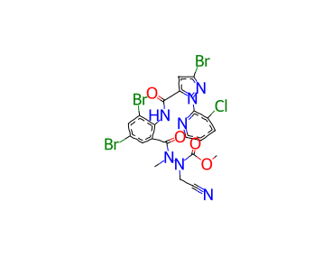 COC(=O)N(CC#N)N(C)C(=O)c1cc(Br)cc(Br)c1NC(=O)c1cc(Br)nn1-c1ncccc1Cl